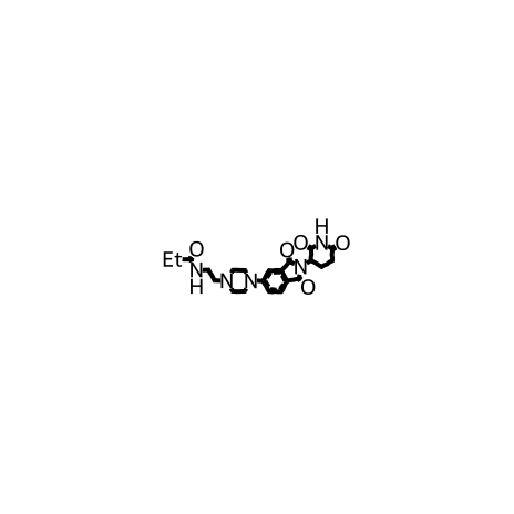 CCC(=O)NCCN1CCN(c2ccc3c(c2)C(=O)N(C2CCC(=O)NC2=O)C3=O)CC1